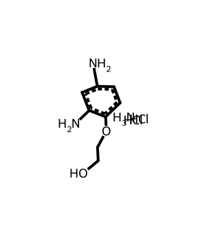 Cl.Cl.N.Nc1ccc(OCCO)c(N)c1